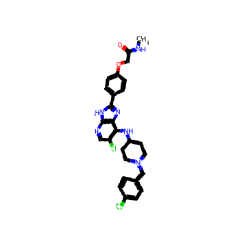 CNC(=O)COc1ccc(-c2nc3c(NC4CCN(Cc5ccc(Cl)cc5)CC4)c(Cl)cnc3[nH]2)cc1